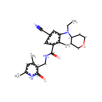 CCN(c1cc(C#N)cc(C(=O)NCc2c(C)cc(C)[nH]c2=O)c1C)C1CCOCC1